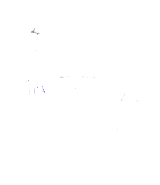 CCCCCCC(CC)CN1CCC2(CCC(NC(C)CCCCC)CC2)CC1